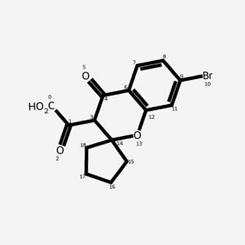 O=C(O)C(=O)C1C(=O)c2ccc(Br)cc2OC12CCCC2